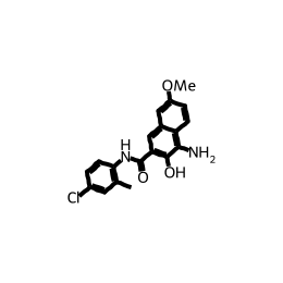 COc1ccc2c(N)c(O)c(C(=O)Nc3ccc(Cl)cc3C)cc2c1